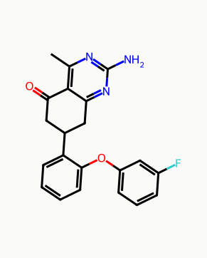 Cc1nc(N)nc2c1C(=O)CC(c1ccccc1Oc1cccc(F)c1)C2